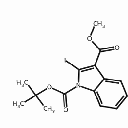 COC(=O)c1c(I)n(C(=O)OC(C)(C)C)c2ccccc12